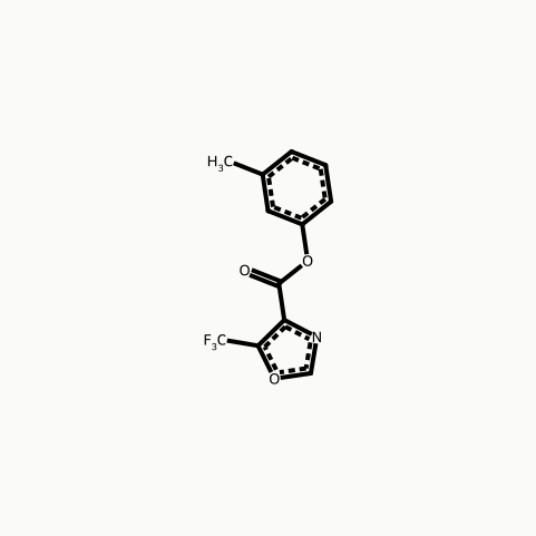 Cc1cccc(OC(=O)c2ncoc2C(F)(F)F)c1